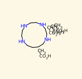 C1CCNCCNCCNCCNC1.CC(=O)O.CC(=O)O.CC(=O)O.CC(=O)O